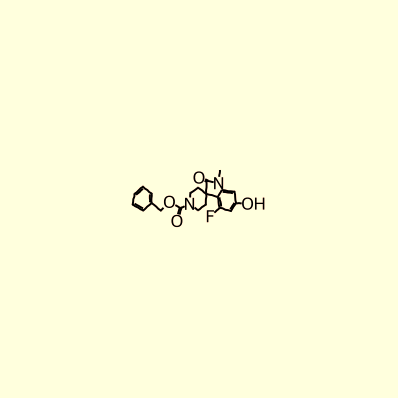 CN1C(=O)C2(CCN(C(=O)OCc3ccccc3)CC2)c2c(F)cc(O)cc21